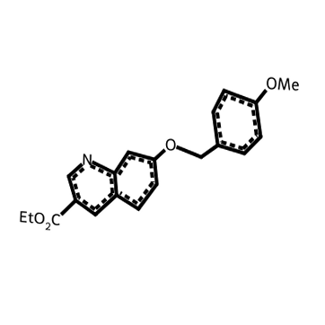 CCOC(=O)c1cnc2cc(OCc3ccc(OC)cc3)ccc2c1